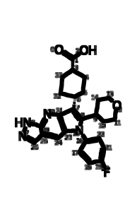 O=C(O)[C@H]1CC[C@H](c2c(C3CCOCC3)n(-c3ccc(F)cc3)c3cc4cn[nH]c4nc32)CC1